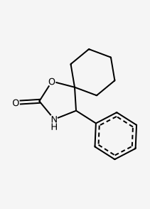 O=C1NC(c2ccccc2)C2(CCCCC2)O1